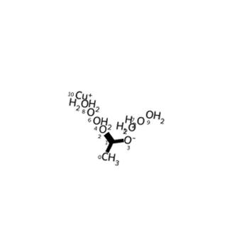 CC(=O)[O-].O.O.O.O.O.O.[Cu+]